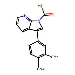 COc1ccc(-c2cn(C(=O)S)c3ncccc23)cc1OC